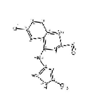 Cc1cc(Nc2nc(C=O)nc3ccc(Cl)cc23)n[nH]1